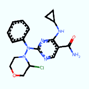 NC(=O)c1cnc(N(c2ccccc2)N2CCOCC2Cl)nc1NC1CC1